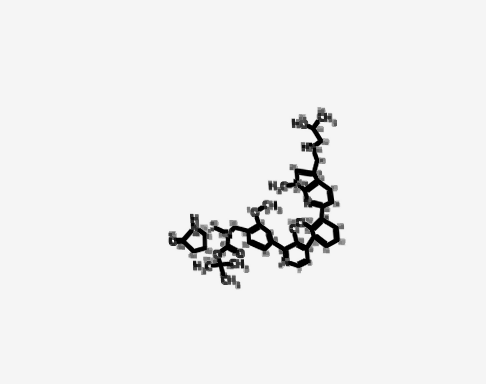 COc1cc(-c2nccc(-c3cccc(-c4ccc5c(CNCC(C)O)cn(C)c5n4)c3Cl)c2Cl)ccc1CN(C[C@@H]1CCC(=O)N1)C(=O)OC(C)(C)C